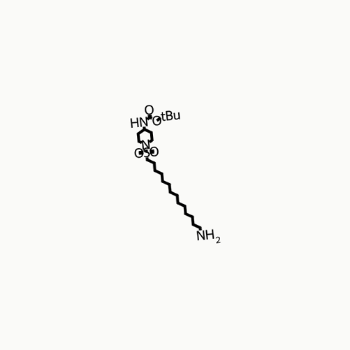 CC(C)(C)OC(=O)NC1CCN(S(=O)(=O)CCCCCCCCCCCCCCN)CC1